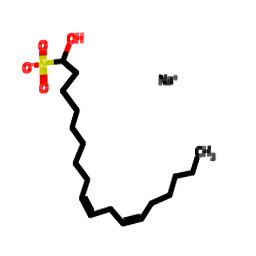 CCCCC/C=C\C/C=C\CCCCCCCC(O)S(=O)(=O)[O-].[Na+]